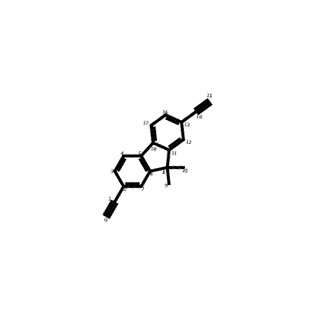 C#Cc1ccc2c(c1)C(C)(C)c1cc(C#C)ccc1-2